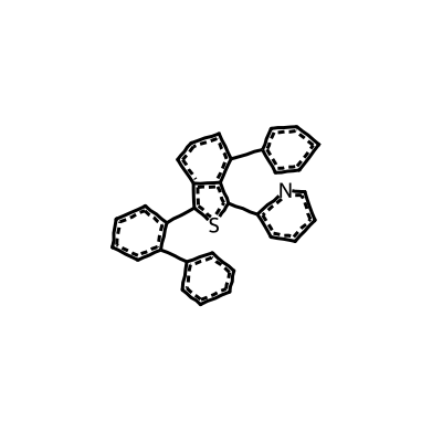 c1ccc(-c2ccccc2-c2sc(-c3ccccn3)c3c(-c4ccccc4)cccc23)cc1